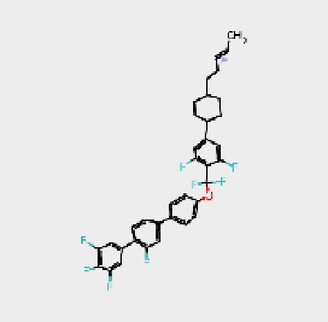 C/C=C/CCC1CCC(c2cc(F)c(C(F)(F)Oc3ccc(-c4ccc(-c5cc(F)c(F)c(F)c5)c(F)c4)cc3)c(F)c2)CC1